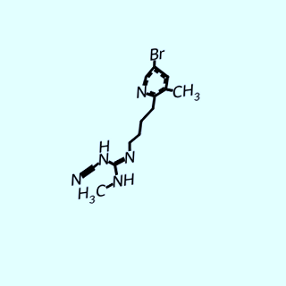 CNC(=NCCCCc1ncc(Br)cc1C)NC#N